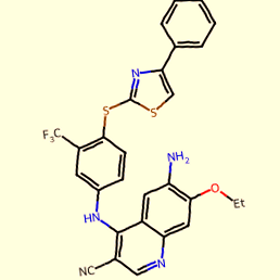 CCOc1cc2ncc(C#N)c(Nc3ccc(Sc4nc(-c5ccccc5)cs4)c(C(F)(F)F)c3)c2cc1N